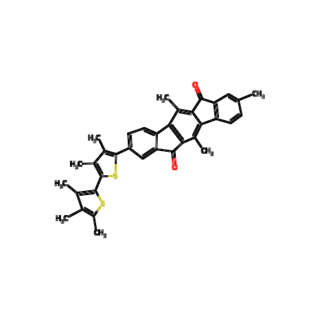 Cc1ccc2c(c1)c(=O)c1c(C)c3c(c(C)c12)c(=O)c1cc(-c2sc(-c4sc(C)c(C)c4C)c(C)c2C)ccc13